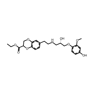 CCOC(=O)C1COc2cc(CCNC[C@H](O)COc3ccc(O)cc3OC)ccc2O1